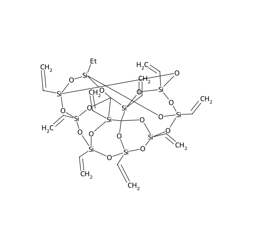 C=C[Si]12OC34O[Si](C=C)(O1)O[Si]1(C=C)O[Si]5(C=C)OC6(O[Si]7(CC)O[Si](C=C)(O2)O[Si](C=C)(O[Si](C=C)(O5)O7)O[Si]36C=C)[Si]4(C=C)O1